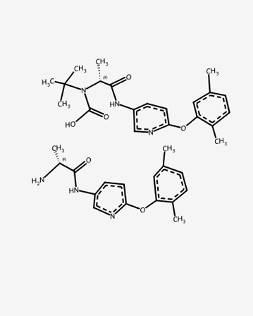 Cc1ccc(C)c(Oc2ccc(NC(=O)[C@@H](C)N(C(=O)O)C(C)(C)C)cn2)c1.Cc1ccc(C)c(Oc2ccc(NC(=O)[C@@H](C)N)cn2)c1